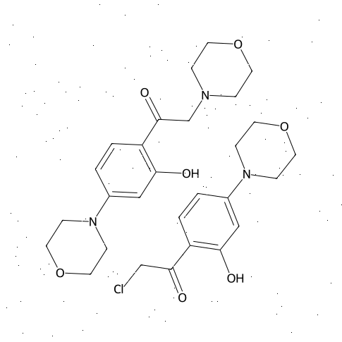 O=C(CCl)c1ccc(N2CCOCC2)cc1O.O=C(CN1CCOCC1)c1ccc(N2CCOCC2)cc1O